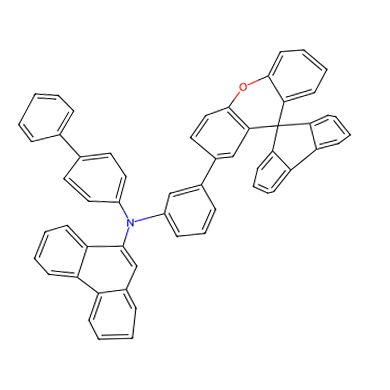 c1ccc(-c2ccc(N(c3cccc(-c4ccc5c(c4)C4(c6ccccc6O5)c5ccccc5-c5ccccc54)c3)c3cc4ccccc4c4ccccc34)cc2)cc1